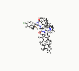 [2H]c1c([2H])c(C([2H])([2H])N(CCN(C([2H])([2H])C)C([2H])([2H])C)C(=O)C([2H])([2H])n2c(SC([2H])([2H])c3ccc(F)cc3)nc(=O)c3c2C([2H])([2H])C([2H])([2H])C3([2H])[2H])c([2H])c([2H])c1-c1c([2H])c([2H])c(C(F)(F)F)c(C)c1[2H]